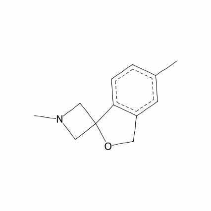 Cc1ccc2c(c1)COC21CN(C)C1